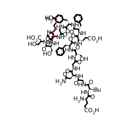 CC[C@H](C)[C@H](NC(=O)[C@@H](N)CCC(=O)O)C(=O)NCC(=O)N[C@@H](CC(N)=O)C(=O)NCC(=O)N[C@@H](CO)C(=O)N[C@@H](Cc1ccccc1)C(=O)N[C@@H](CCC(=O)O)C(=O)N[C@@H](Cc1ccccc1)C(=O)N[C@@H](Cc1ccc(O)cc1)C(=O)N[C@@H](Cc1c[nH]cn1)C(=O)N[C@@H](CCCCN)C(=O)N[C@@H](CO)C(=O)N[C@@H](CO)C(=O)O